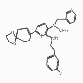 O=CN(Cc1cccnc1)c1ccc(C2=CCC3(CC2)OCCO3)nc1NCCc1cccc(F)c1